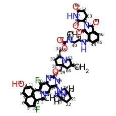 C#Cc1c(F)ccc2cc(O)cc(-c3ncc4c(N5C[C@H]6CC[C@@H](C5)N6)nc(OC[C@@]56CC[C@@H](COC(=O)N(C)CCNc7cccc8c7C(=O)N(C7CCC(=O)NC7=O)C8=O)N5CC(=C)C6)nc4c3F)c12